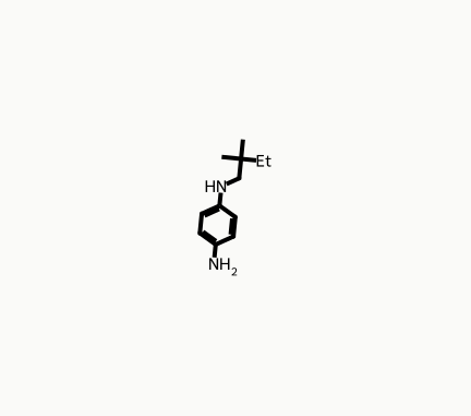 CCC(C)(C)CNc1ccc(N)cc1